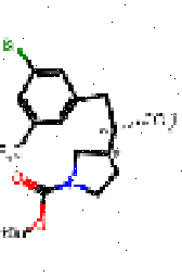 CC(C)(C)OC(=O)N1CC[C@H]([C@H](Cc2cc(Br)cc(C(F)(F)F)c2)C(=O)O)C1